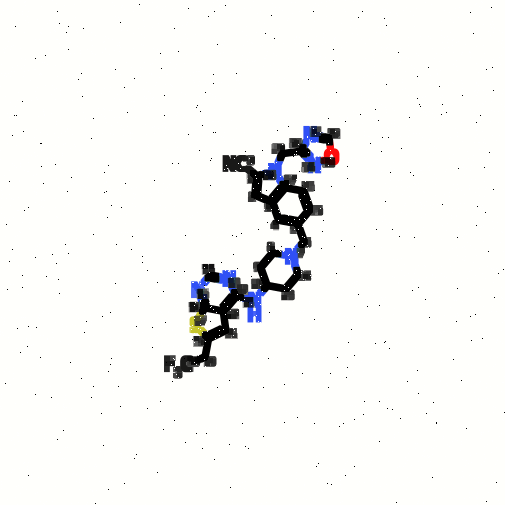 N#Cc1cc2cc(CN3CCC(Nc4ncnc5sc(CC(F)(F)F)cc45)CC3)ccc2n1Cc1ncon1